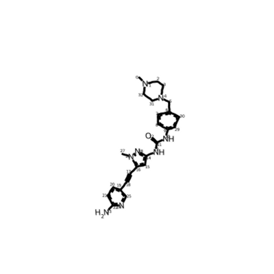 CN1CCN(Cc2ccc(NC(=O)Nc3cc(C#Cc4ccc(N)nc4)n(C)n3)cc2)CC1